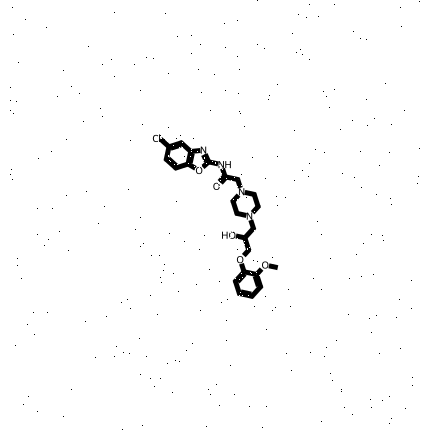 COc1ccccc1OCC(O)CN1CCN(CC(=O)Nc2nc3cc(Cl)ccc3o2)CC1